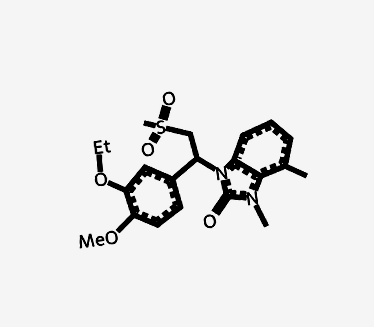 CCOc1cc(C(CS(C)(=O)=O)n2c(=O)n(C)c3c(C)cccc32)ccc1OC